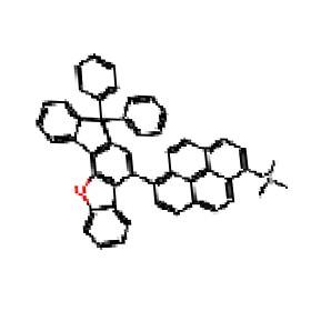 C[Si](C)(C)c1ccc2ccc3c(-c4cc5c(c6oc7ccccc7c46)-c4ccccc4C5(c4ccccc4)c4ccccc4)ccc4ccc1c2c43